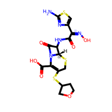 Nc1nc(/C(=N/O)C(=O)NC2C(=O)N3C(C(=O)O)=C(SC4CCOC4)CS[C@@H]23)cs1